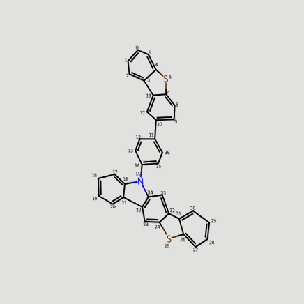 c1ccc2c(c1)sc1ccc(-c3ccc(-n4c5ccccc5c5cc6sc7ccccc7c6cc54)cc3)cc12